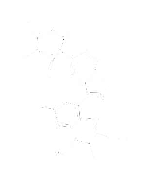 COCC(C)C(Oc1ccc(C)cc1-c1nsc2ccc(-n3c(=O)cc(C(F)(F)F)n(C)c3=O)cc12)C(=O)O